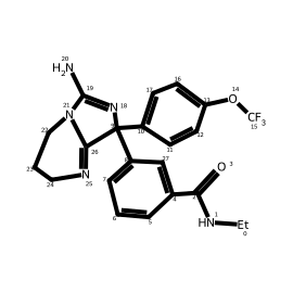 CCNC(=O)c1cccc(C2(c3ccc(OC(F)(F)F)cc3)N=C(N)N3CCCN=C32)c1